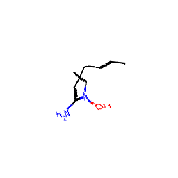 CCCCC1(C)C=C(N)N(O)C1